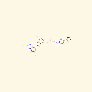 COc1cnc2c(-c3nc4c(C)cc5c(c4s3)OC[C@H](COC(=O)Nc3ccc(-c4cccs4)nc3)O5)cc(C)cc2n1